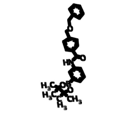 CC1(C)OB(c2cccc(NC(=O)c3ccc(COCc4ccccc4)cc3)c2)OC1(C)C